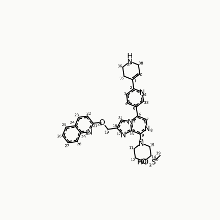 C1=C(c2ccc(-c3cnc(N4CCOCC4)c4nc(COc5ccc6ccccc6n5)cn34)cn2)CCNC1.CS(=O)(=O)O